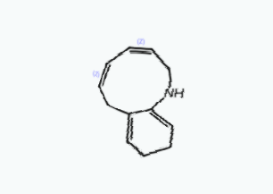 C1=C2C/C=C\C=C/CNC2=CCC1